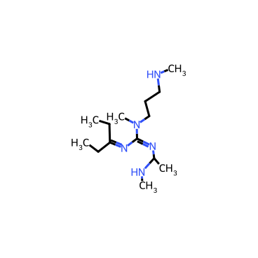 CCC(CC)=N/C(=N\C(C)NC)N(C)CCCNC